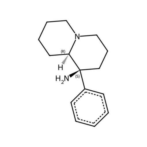 N[C@]1(c2ccccc2)CCCN2CCCC[C@@H]21